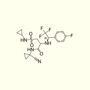 N#CC1(NC(=O)C(CS(=O)(=O)NC2CC2)N[C@H](c2ccc(F)cc2)C(F)(F)F)CC1